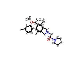 Cc1ccc(-c2c(C)c3c(c(C)c2C(OC(C)(C)C)C(=O)O)CN(CC(=O)N2CCCCC2)C3)cc1